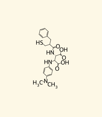 CN(C)c1ccc(NC(C(=O)O)[C@H](NC(=O)C(CS)Cc2ccccc2)C(=O)O)cc1